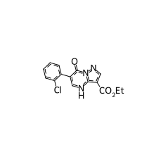 CCOC(=O)c1cnn2c(=O)c(-c3ccccc3Cl)c[nH]c12